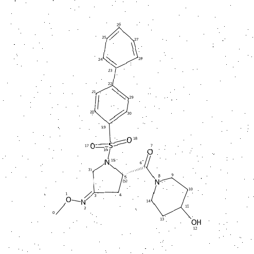 CON=C1C[C@@H](C(=O)N2CCC(O)CC2)N(S(=O)(=O)c2ccc(-c3ccccc3)cc2)C1